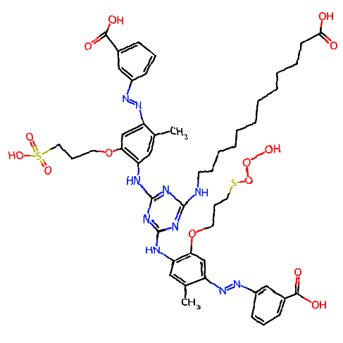 Cc1cc(Nc2nc(NCCCCCCCCCCCC(=O)O)nc(Nc3cc(C)c(N=Nc4cccc(C(=O)O)c4)cc3OCCCS(=O)(=O)O)n2)c(OCCCSOOO)cc1N=Nc1cccc(C(=O)O)c1